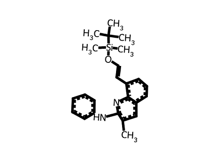 Cc1cc2cccc(C=CO[Si](C)(C)C(C)(C)C)c2nc1Nc1ccccc1